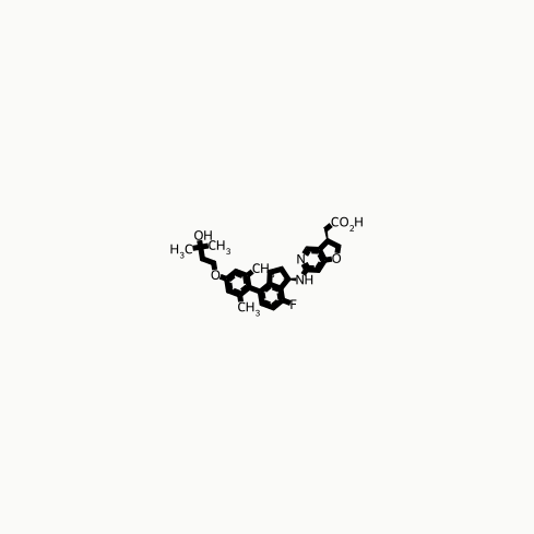 Cc1cc(OCCC(C)(C)O)cc(C)c1-c1ccc(F)c2c1CC[C@H]2Nc1cc2c(cn1)[C@@H](CC(=O)O)CO2